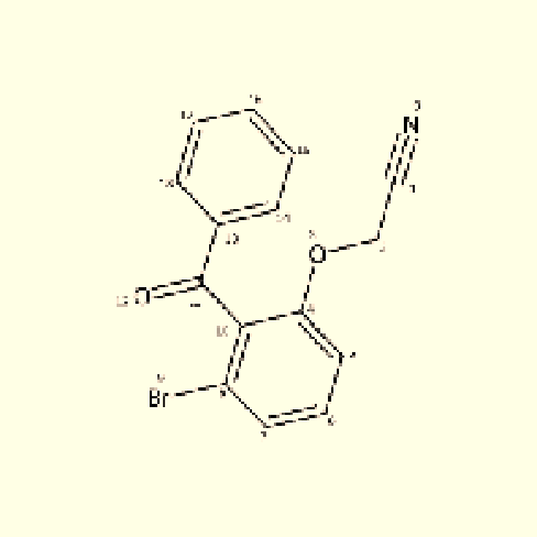 N#CCOc1cccc(Br)c1C(=O)c1ccccc1